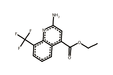 CCOC(=O)c1cc(N)nc2c(C(F)(F)F)cccc12